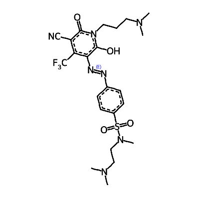 CN(C)CCCn1c(O)c(/N=N/c2ccc(S(=O)(=O)N(C)CCN(C)C)cc2)c(C(F)(F)F)c(C#N)c1=O